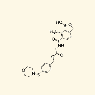 Cc1c(C(=O)NCC(=O)OCc2ccc(SN3CCOCC3)cc2)ccc2c1B(O)OC2